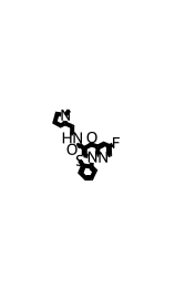 CN1CCCC1CCNC(=O)c1c(=O)c2cc(F)cnc2n2c1sc1ccccc12